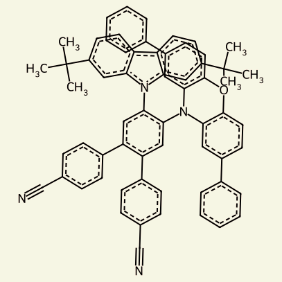 CC(C)(C)c1ccc2c3ccc(C(C)(C)C)cc3n(-c3cc(-c4ccc(C#N)cc4)c(-c4ccc(C#N)cc4)cc3N3c4cc(-c5ccccc5)ccc4Oc4ccc(-c5ccccc5)cc43)c2c1